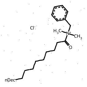 CCCCCCCCCCCCCCCCCCC(=O)[N+](C)(C)Cc1ccccc1.[Cl-]